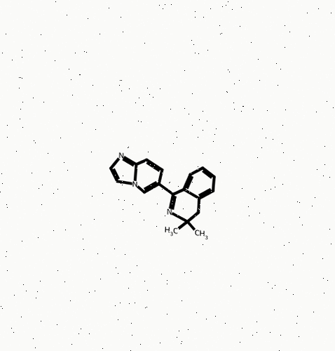 CC1(C)Cc2ccccc2C(c2ccc3nccn3c2)=N1